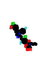 CCCCN([C@H](C)C(=O)O)S(=O)(=O)c1cc(F)c(CCc2ncc(C(C)(C)c3ccc(Cl)c(OC)c3)n2-c2ccc(F)cc2)c(Cl)c1